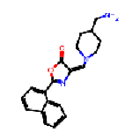 NCC1CCN(/C=C2/N=C(c3cccc4ccccc34)OC2=O)CC1